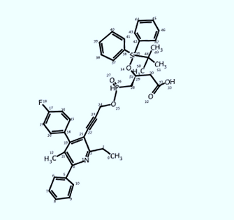 CCc1nc(-c2ccccc2)c(C)c(-c2ccc(F)cc2)c1C#CCO[PH](=O)C[C@H](CC(=O)O)O[Si](c1ccccc1)(c1ccccc1)C(C)(C)C